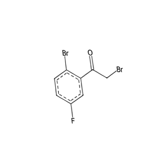 O=C(CBr)c1cc(F)ccc1Br